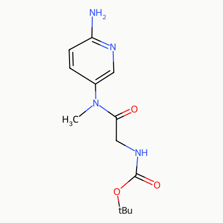 CN(C(=O)CNC(=O)OC(C)(C)C)c1ccc(N)nc1